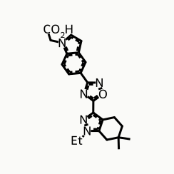 CCn1nc(-c2nc(-c3ccc4c(ccn4CC(=O)O)c3)no2)c2c1CC(C)(C)CC2